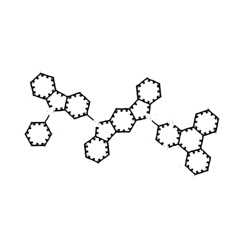 c1ccc(-n2c3ccccc3c3ccc(-n4c5ccccc5c5cc6c(cc54)c4ccccc4n6-c4cnc5c6ccccc6c6ccccc6c5n4)cc32)cc1